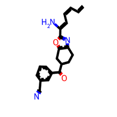 C=C/C=C\C=C(/N)c1nc2c(o1)CC(C(=O)c1cccc(C#N)c1)CC2